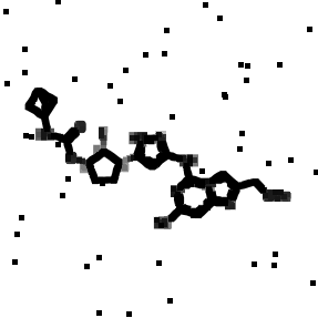 COCc1cn2c(Nc3cc([C@@H]4CC[C@H](OC(=O)NC56CC(C5)C6)[C@@H]4F)[nH]n3)nc(C#N)cc2n1